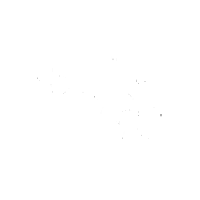 COc1cc(C(=O)N2C=C(c3ccc(NC(=O)O)cc3)CC2CO[Si](C)(C)C(C)(C)C)c(NC(=O)OC(C)(C)C)cc1O[Si](C(C)C)(C(C)C)C(C)C